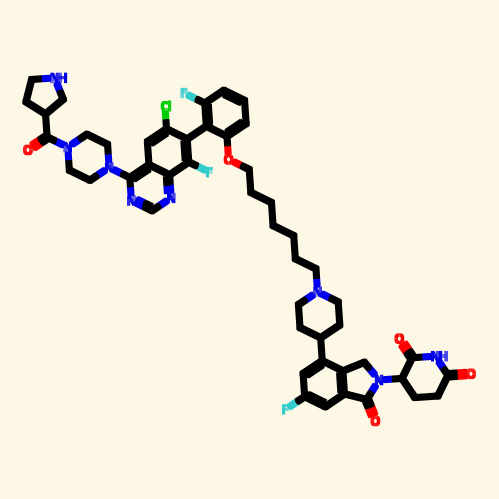 O=C1CCC(N2Cc3c(cc(F)cc3C3CCN(CCCCCCCOc4cccc(F)c4-c4c(Cl)cc5c(N6CCN(C(=O)C7CCNC7)CC6)ncnc5c4F)CC3)C2=O)C(=O)N1